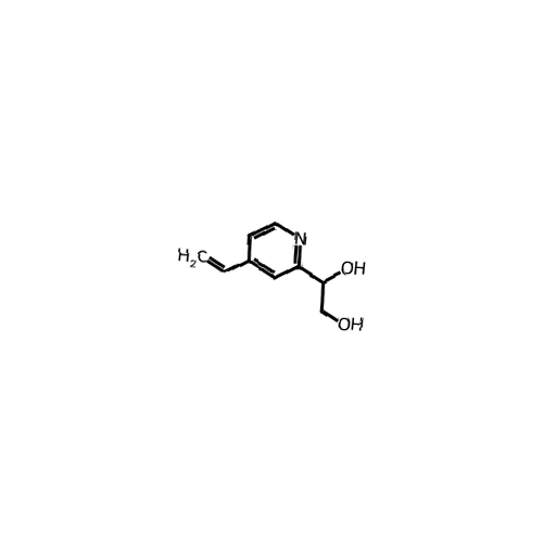 C=Cc1ccnc(C(O)CO)c1